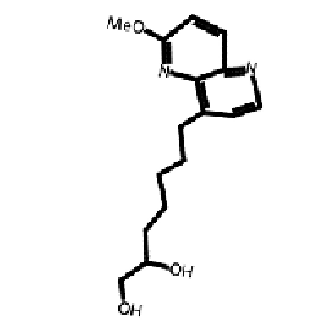 COc1ccc2nccc(CCCCCC(O)CO)c2n1